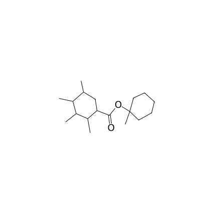 CC1CC(C(=O)OC2(C)CCCCC2)C(C)C(C)C1C